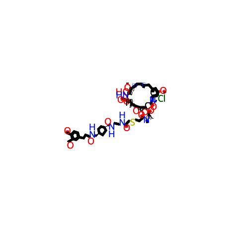 COc1cc2cc(c1Cl)N(C)C(=O)C[C@@H](OC(=O)[C@H](C)N(C)C(=O)CCSCC(=O)NCCNC(=O)[C@H]1CC[C@H](CNC(=O)CCc3ccc(C=O)c(C=O)c3)CC1)[C@]1(C)OC1[C@H](C)[C@@H]1C[C@@](O)(NC(=O)O1)[C@H](OC)/C=C\C=C(/C)C2